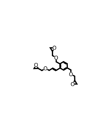 C(=Cc1cc(COCC2CO2)ccc1COCC1CO1)COCC1CO1